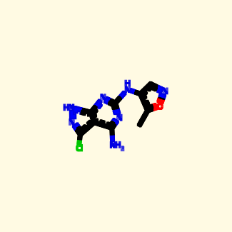 Cc1oncc1Nc1nc(N)c2c(Cl)n[nH]c2n1